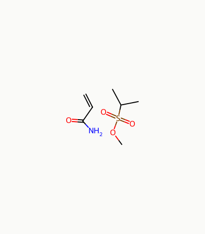 C=CC(N)=O.COS(=O)(=O)C(C)C